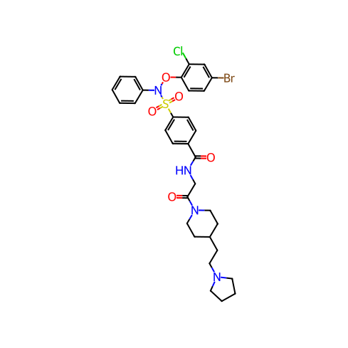 O=C(NCC(=O)N1CCC(CCN2CCCC2)CC1)c1ccc(S(=O)(=O)N(Oc2ccc(Br)cc2Cl)c2ccccc2)cc1